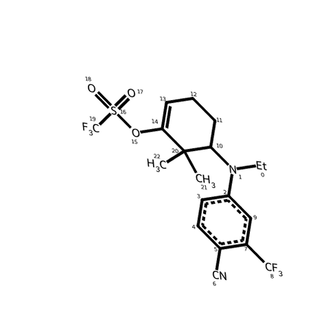 CCN(c1ccc(C#N)c(C(F)(F)F)c1)C1CCC=C(OS(=O)(=O)C(F)(F)F)C1(C)C